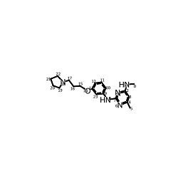 CNc1cc(C)nc(Nc2cccc(OCCCN3CCCC3)c2)n1